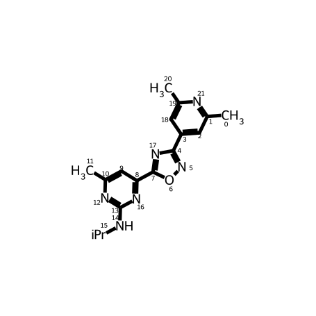 Cc1cc(-c2noc(-c3cc(C)nc(NC(C)C)n3)n2)cc(C)n1